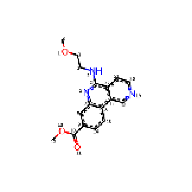 COCCNc1nc2cc(C(=O)OC)ccc2c2cnccc12